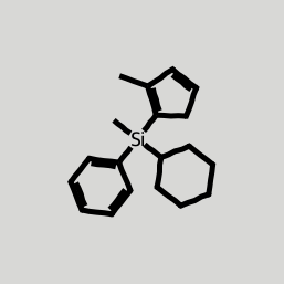 CC1=C([Si](C)(c2ccccc2)C2CCCCC2)CC=C1